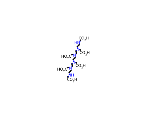 O=C(O)CNCCN(CCN(CCN(CCN(CCNCC(=O)O)CC(=O)O)CC(=O)O)CC(=O)O)CC(=O)O